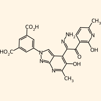 Cc1ccc(C(=O)C(=NN)c2c(O)c(C)nc3nn(-c4cc(C(=O)O)cc(C(=O)O)c4)cc23)c(O)n1